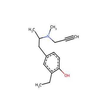 C#CCN(C)C(C)Cc1ccc(O)c(CC)c1